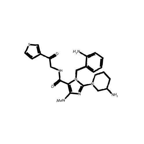 CNc1nc(N2CCCC(N)C2)n(Cc2ccccc2N)c1C(=O)NCC(=O)c1ccsc1